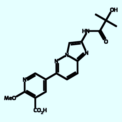 COc1ncc(-c2ccc3nc(NC(=O)C(C)(C)O)cn3n2)cc1C(=O)O